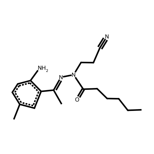 CCCCCC(=O)N(CCC#N)/N=C(\C)c1cc(C)ccc1N